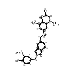 COc1cc(Cn2cc3cc(CNc4cc5c(c(C)n4)NC(=O)CN5C)ccc3n2)ccc1F